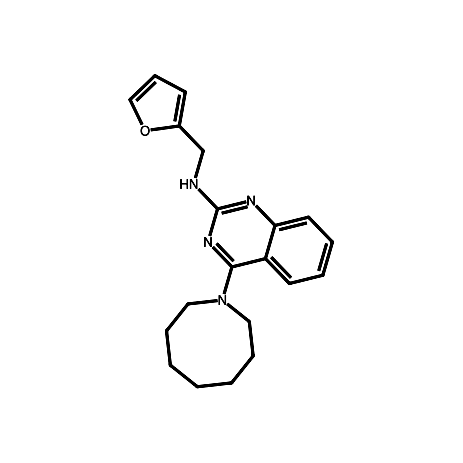 c1coc(CNc2nc(N3CCCCCCC3)c3ccccc3n2)c1